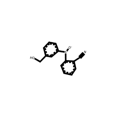 N#Cc1ccccc1[S+]([O-])c1cccc(CO)c1